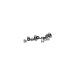 CC1(C)OCc2cc([C@@H](O)CNCCc3ccc4c(c3)O[C@H](COCc3cncc(Br)c3)CO4)ccc2O1